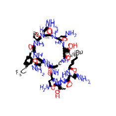 CC[C@H](C)CCCCC(=O)N[C@@H](CCN)C(=O)N[C@H](C(=O)N[C@@H](CCN)C(=O)N[C@H]1CCNC(=O)[C@H]([C@@H](C)O)NC(=O)[C@H](CCN)NC(=O)[C@H](CCN)NC(=O)[C@H](CC(C)C)NC(=O)[C@@H](Cc2ccc(C(F)(F)F)cc2)NC(=O)[C@H](CCN)NC1=O)[C@@H](C)O